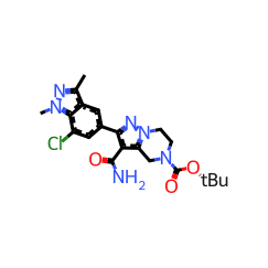 Cc1nn(C)c2c(Cl)cc(-c3nn4c(c3C(N)=O)CN(C(=O)OC(C)(C)C)CC4)cc12